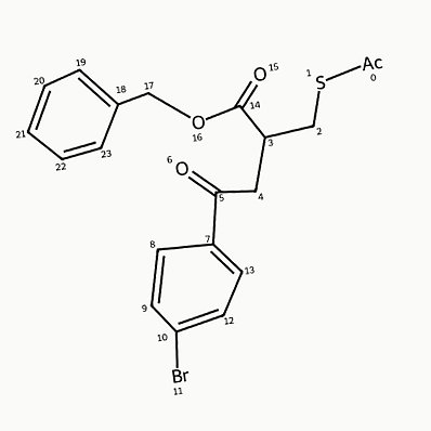 CC(=O)SCC(CC(=O)c1ccc(Br)cc1)C(=O)OCc1ccccc1